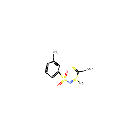 COC(=S)S(C)=NS(=O)(=O)c1cccc([N+](=O)[O-])c1